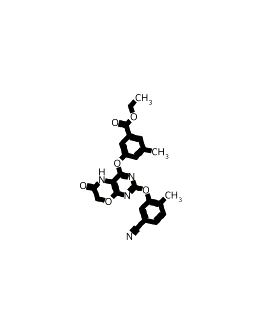 CCOC(=O)c1cc(C)cc(Oc2nc(Oc3cc(C#N)ccc3C)nc3c2NC(=O)CO3)c1